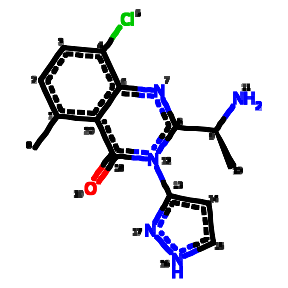 Cc1ccc(Cl)c2nc([C@H](C)N)n(-c3cc[nH]n3)c(=O)c12